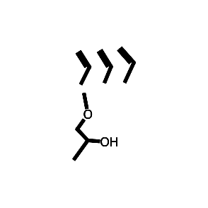 C=CC.C=CC.C=CC.COCC(C)O